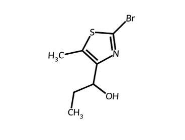 CCC(O)c1nc(Br)sc1C